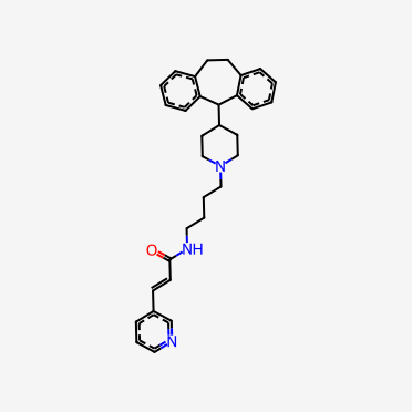 O=C(C=Cc1cccnc1)NCCCCN1CCC(C2c3ccccc3CCc3ccccc32)CC1